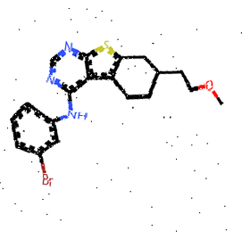 COCCC1CCc2c(sc3ncnc(Nc4cccc(Br)c4)c23)C1